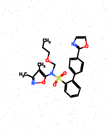 CCCOCN(c1onc(C)c1C)S(=O)(=O)c1ccccc1-c1ccc(-c2ncco2)cc1